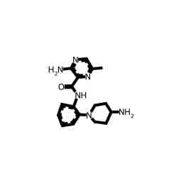 Cc1cnc(N)c(C(=O)Nc2ccccc2N2CCC(N)CC2)n1